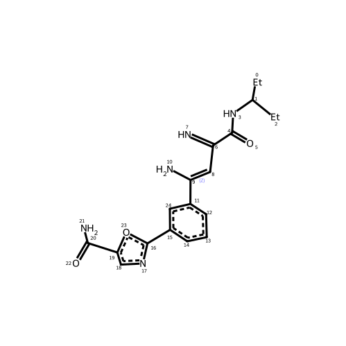 CCC(CC)NC(=O)C(=N)/C=C(\N)c1cccc(-c2ncc(C(N)=O)o2)c1